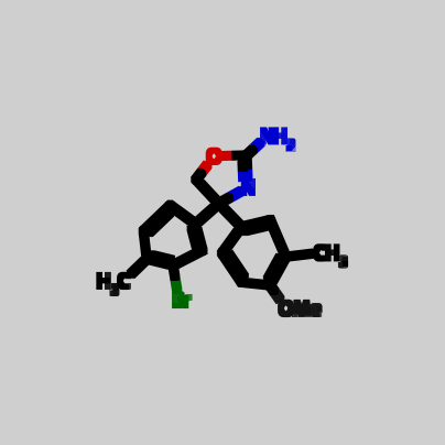 COc1ccc(C2(c3ccc(C)c(Br)c3)COC(N)=N2)cc1C